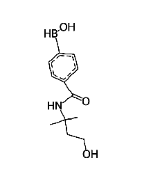 CC(C)(CCO)NC(=O)c1ccc(BO)cc1